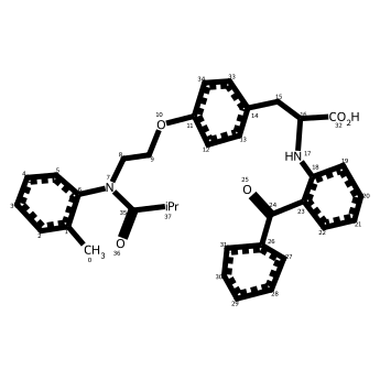 Cc1ccccc1N(CCOc1ccc(CC(Nc2ccccc2C(=O)c2ccccc2)C(=O)O)cc1)C(=O)C(C)C